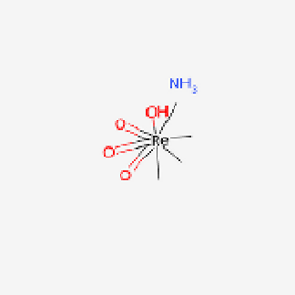 N.[CH3][Re]([CH3])([CH3])([CH3])(=[O])(=[O])(=[O])[OH]